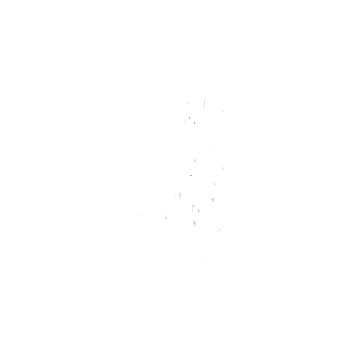 CC(C)(C)OC(=O)N(Cc1ccc(/C(Cl)=N/O)cc1)C1CCOCC1